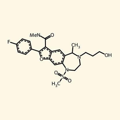 CNC(=O)c1c(-c2ccc(F)cc2)oc2cc3c(cc12)C(C)N(CCCO)CCN3S(C)(=O)=O